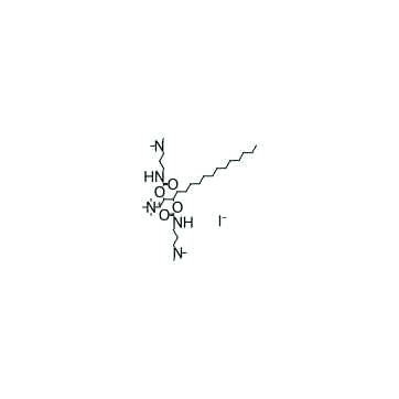 CCCCCCCCCCCCCC(OC(=O)NCCCN(C)C)C(C[N+](C)(C)C)OC(=O)NCCCN(C)C.[I-]